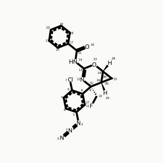 [N-]=[N+]=Nc1ccc(Cl)c([C@@]2(CF)N=C(NC(=O)c3ccccc3)O[C@@H]3C[C@@H]32)c1